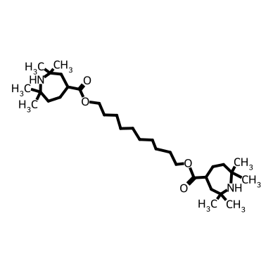 CC1(C)CCC(C(=O)OCCCCCCCCCCOC(=O)C2CCC(C)(C)NC(C)(C)C2)CC(C)(C)N1